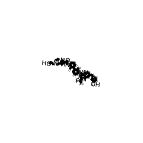 Cc1c(NC(=O)c2cc3n(n2)CCN(CCO)C3)cccc1-c1cccc(Nc2nc(C(F)F)nc3cc(CN4CC[C@@H](O)C4)cnc23)c1C